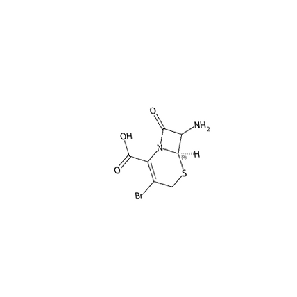 NC1C(=O)N2C(C(=O)O)=C(Br)CS[C@H]12